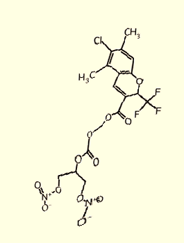 Cc1cc2c(c(C)c1Cl)C=C(C(=O)OCOC(=O)OC(CO[N+](=O)[O-])CO[N+](=O)[O-])C(C(F)(F)F)O2